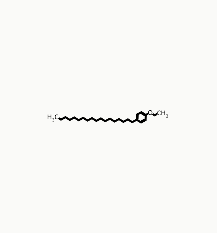 [CH2]COc1ccc(CCCCCCCCCCCCCCCCCC)cc1